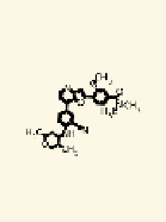 COc1cc(C(=O)N(C)C)ccc1-c1cc2nccc(-c3ccc(NC4CC(C)OCC4C)c(C#N)c3)c2o1